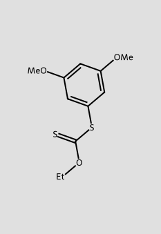 CCOC(=S)Sc1cc(OC)cc(OC)c1